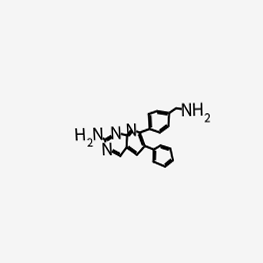 NCc1ccc(-c2nc3nc(N)ncc3cc2-c2ccccc2)cc1